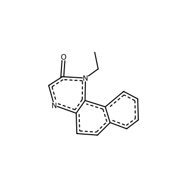 CCn1c(=O)cnc2ccc3ccccc3c21